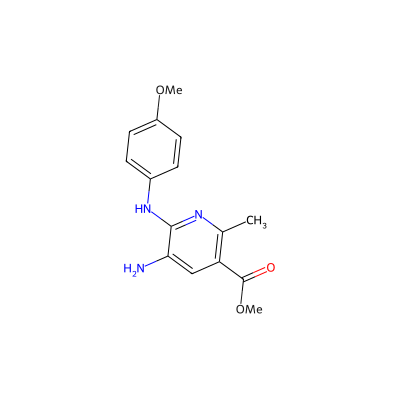 COC(=O)c1cc(N)c(Nc2ccc(OC)cc2)nc1C